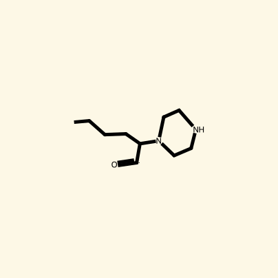 CCCCC([C]=O)N1CCNCC1